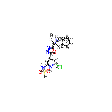 CN(c1cc(-c2nnc(C(C)(Cc3ccccc3)N(C(=O)O)C(C)(C)C)o2)cc(Cl)n1)S(C)(=O)=O